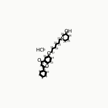 Cl.O=c1cc(-c2ccccc2)oc2ccc(OCCCCCCN3CCCC(O)C3)cc12